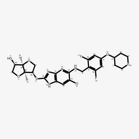 O[C@@H]1CO[C@H]2[C@@H]1OC[C@H]2Oc1nc2nc(NCc3c(F)cc(OC4CCOCC4)cc3F)c(Cl)cc2[nH]1